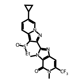 CC[S+]([O-])c1c(-c2nc3cc(C(F)(F)F)n(C)c(=O)c3n2C)nn2cc(C3CC3)ccc12